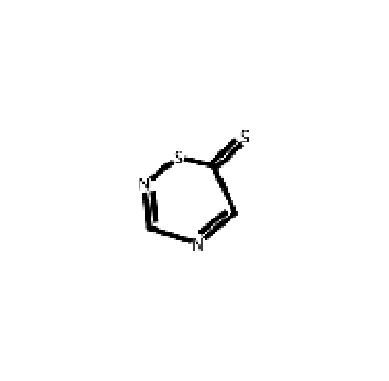 S=c1cncns1